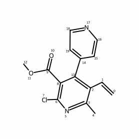 C=Cc1c(C)nc(Cl)c(C(=O)OC)c1-c1ccncc1